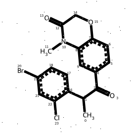 CC(C(=O)c1ccc2c(c1)N(C)C(=O)CO2)c1ccc(Br)cc1Cl